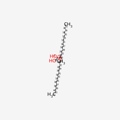 CC(O)C(=O)O.CCCCCCCCCCCCCCCCCCOCCCCCCCCCCCCCCCCCC